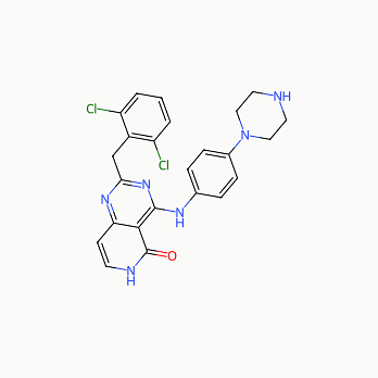 O=c1[nH]ccc2nc(Cc3c(Cl)cccc3Cl)nc(Nc3ccc(N4CCNCC4)cc3)c12